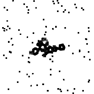 Cn1ncc(C(=O)N2CCNCC2)c1C(=O)Nc1cc2nc(-c3ccccc3)cn2cc1C#N